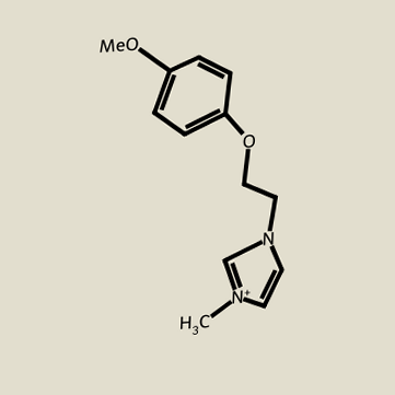 COc1ccc(OCCn2cc[n+](C)c2)cc1